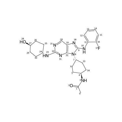 CC(=O)N[C@H]1CC[C@H](n2c(Nc3ccccc3F)nc3cnc(N[C@H]4CC[C@H](O)CC4)nc32)CC1